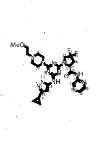 COCCN1CCN(c2nc(Nc3cc(C4CC4)n[nH]3)nc(N3CC(F)(F)C[C@H]3C(=O)Nc3cnccn3)n2)CC1